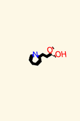 CO[C@H](CO)CCC1=NC=CCC=C1